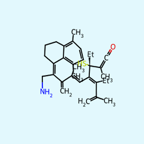 C=C(/C(C)=C/C(=C(/CC)C(=C)C)[C@@](S)(CC)C(C)=C=O)/C(CN)=C1/CCCc2c(C)ccc(C)c21